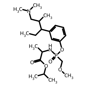 CCC(c1cccc(OP(=O)(COC)NC(C)C(=O)OC(C)C)c1)C(C)CN(C)C